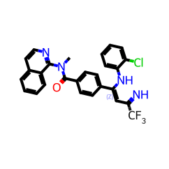 CN(C(=O)c1ccc(/C(=C/C(=N)C(F)(F)F)Nc2ccccc2Cl)cc1)c1nccc2ccccc12